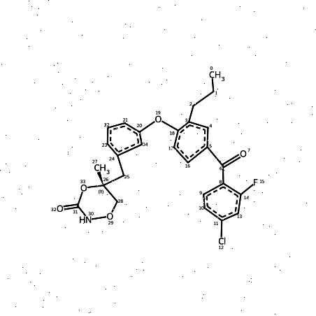 CCCc1cc(C(=O)c2ccc(Cl)cc2F)ccc1Oc1cccc(C[C@]2(C)CONC(=O)O2)c1